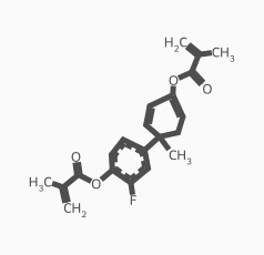 C=C(C)C(=O)OC1=CCC(C)(c2ccc(OC(=O)C(=C)C)c(F)c2)C=C1